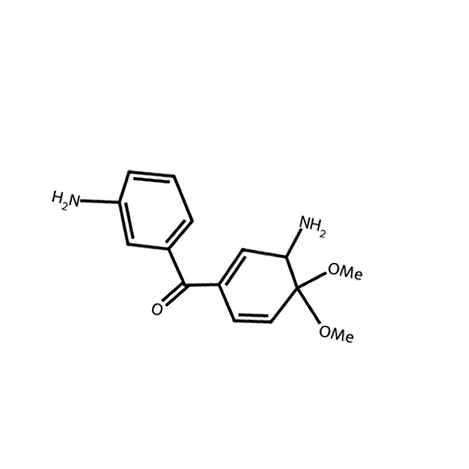 COC1(OC)C=CC(C(=O)c2cccc(N)c2)=CC1N